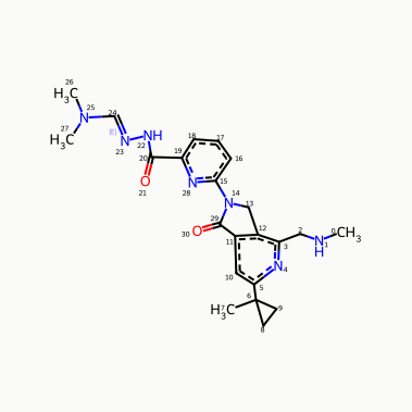 CNCc1nc(C2(C)CC2)cc2c1CN(c1cccc(C(=O)N/N=C/N(C)C)n1)C2=O